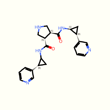 O=C(NC1C[C@@H]1c1cccnc1)[C@@H]1CNC[C@H]1C(=O)N[C@H]1C[C@@H]1c1cccnc1